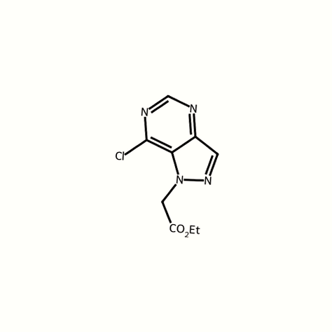 CCOC(=O)Cn1ncc2ncnc(Cl)c21